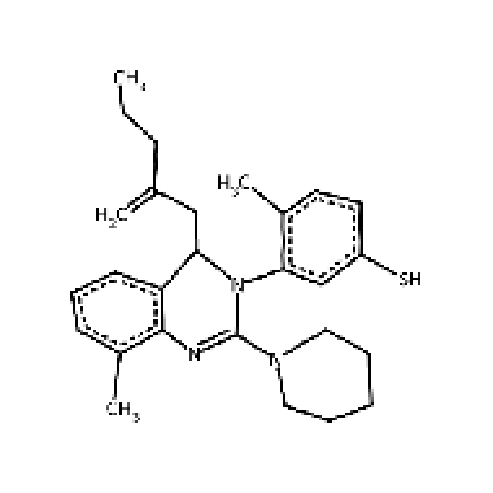 C=C(CCC)CC1c2cccc(C)c2N=C(N2CCCCC2)N1c1cc(S)ccc1C